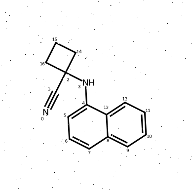 N#CC1(Nc2cccc3ccccc23)CCC1